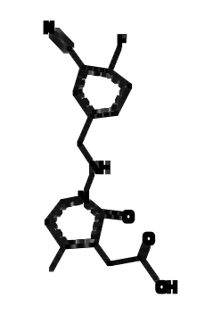 Cc1ccn(NCc2ccc(F)c(C#N)c2)c(=O)c1CC(=O)O